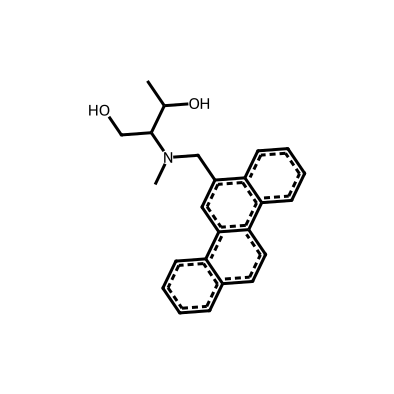 CC(O)C(CO)N(C)Cc1cc2c3ccccc3ccc2c2ccccc12